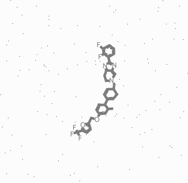 CC1C=C(OCc2ccc(C(F)(F)F)o2)C=CC1C1=CCC(CN2C=C3N=C(c4cccc(F)c4F)N=C3CC2)C=C1